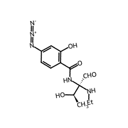 CCN[C@](C=O)(NC(=O)c1ccc(N=[N+]=[N-])cc1O)[C@@H](C)O